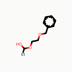 CCC(O)OCCOCc1ccccc1